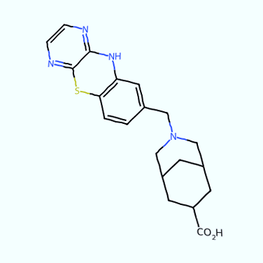 O=C(O)C1CC2CC(C1)CN(Cc1ccc3c(c1)Nc1nccnc1S3)C2